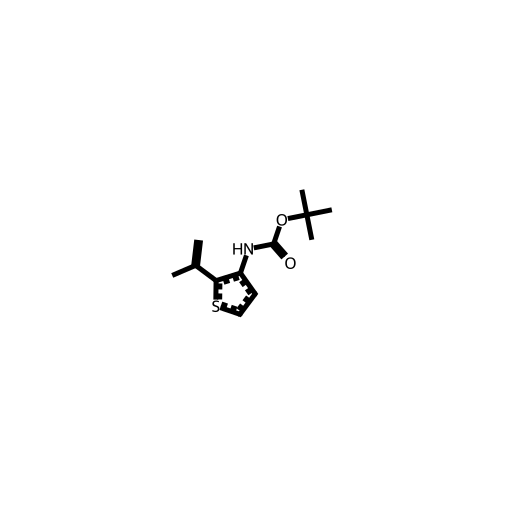 C=C(C)c1sccc1NC(=O)OC(C)(C)C